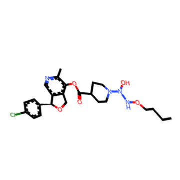 CCCCONN(O)N1CCC(C(=O)Oc2c(C)ncc3c2CO[C@H]3c2ccc(Cl)cc2)CC1